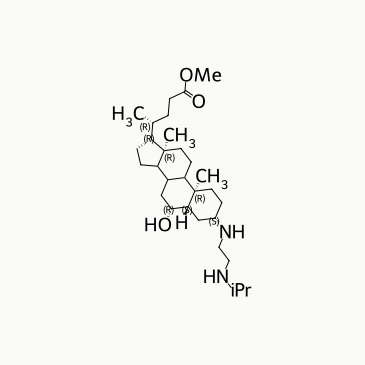 COC(=O)CC[C@@H](C)[C@H]1CCC2C3C[C@@H](O)[C@H]4C[C@@H](NCCNC(C)C)CC[C@]4(C)C3CC[C@@]21C